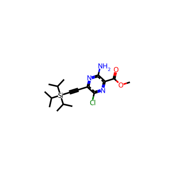 COC(=O)c1nc(Cl)c(C#C[Si](C(C)C)(C(C)C)C(C)C)nc1N